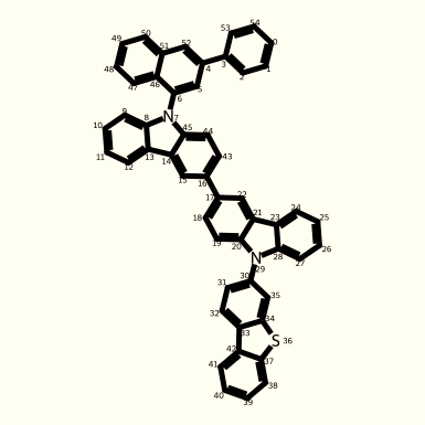 c1ccc(-c2cc(-n3c4ccccc4c4cc(-c5ccc6c(c5)c5ccccc5n6-c5ccc6c(c5)sc5ccccc56)ccc43)c3ccccc3c2)cc1